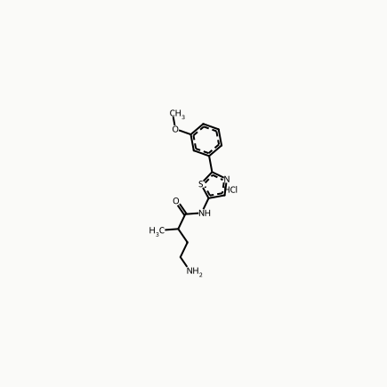 COc1cccc(-c2ncc(NC(=O)C(C)CCN)s2)c1.Cl